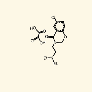 CCN(CC)CCN1COc2ccc(Cl)cc2C1=O.O=C(O)C(=O)O